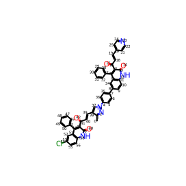 Cc1nn(-c2ccc(-c3ccc4[nH]c(=O)c(C(=O)/C=C/c5ccncc5)c(-c5ccccc5)c4c3)cc2)cc1/C=C/C(=O)c1c(-c2ccccc2)c2cc(Cl)ccc2[nH]c1=O